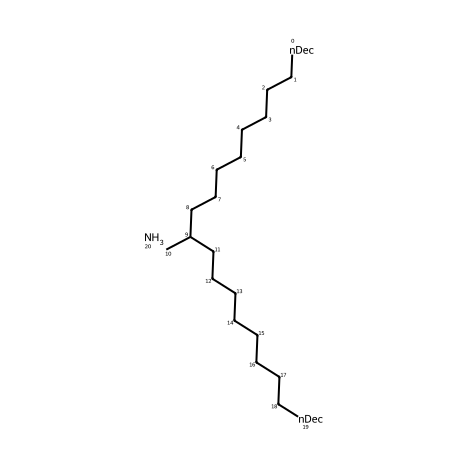 CCCCCCCCCCCCCCCCCCC(C)CCCCCCCCCCCCCCCCCC.N